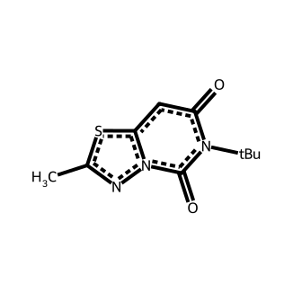 Cc1nn2c(=O)n(C(C)(C)C)c(=O)cc2s1